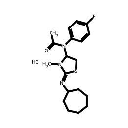 CC(=O)N(c1ccc(F)cc1)C1CSC(=NC2CCCCCC2)N1C.Cl